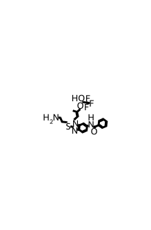 CC(C)=CCn1c(SCCCN)nc2ccc(NC(=O)c3ccccc3)cc21.O=C(O)C(F)(F)F